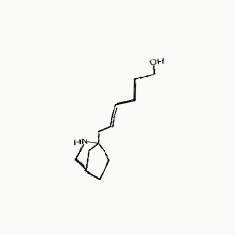 OCCCC=CCC12CCC(CN1)C2